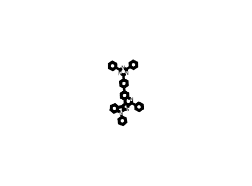 c1ccc(-c2nc(-c3ccccc3)nc(-c3ccc(-c4ccc5c(c4)nc(-c4ccccc4)c4sc6c(c7ccccc7n6-c6ccccc6)c45)cc3)n2)cc1